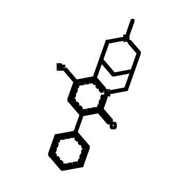 CN1CC2CC(C1)c1c(Br)cc(-c3ccccc3)c(=O)n1C2